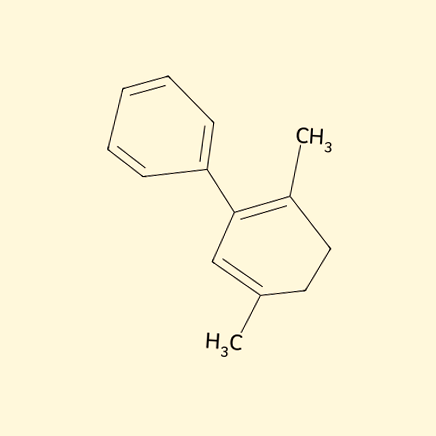 CC1=CC(c2ccccc2)=C(C)CC1